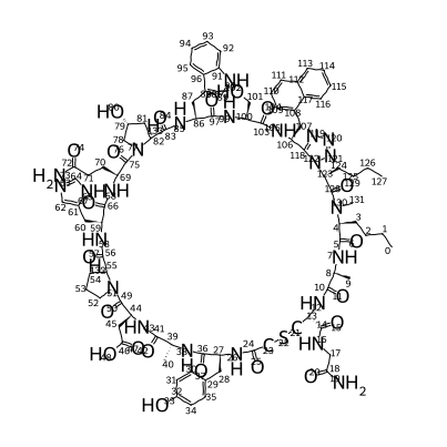 CCCC[C@H]1C(=O)N[C@@H](C)C(=O)N[C@H](C(=O)NCC(N)=O)CSCC(=O)N[C@@H](Cc2ccc(O)cc2)C(=O)N[C@H](C)C(=O)N[C@@H](CC(=O)O)C(=O)N2CCC[C@H]2C(=O)N[C@@H](Cc2cnc[nH]2)C(=O)N[C@@H](CCC(N)=O)C(=O)N2C[C@H](O)C[C@H]2C(=O)N[C@@H](Cc2c[nH]c3ccccc23)C(=O)N[C@@H](CO)C(=O)N[C@@H](Cc2cccc3ccccc23)c2nnnn2[C@@H](CCCC)C(=O)N1C